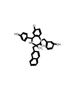 C=C1N(Cc2cccc(O)c2)c2ccc(Cl)cc2C(c2ccc(O)cc2)NC1(C)Cc1ccc2ccccc2c1